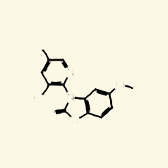 COc1ccc2sc(=O)n(-c3ncc(Cl)cc3Cl)c2c1